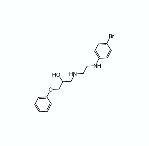 OC(CNCCNc1ccc(Br)cc1)COc1ccccc1